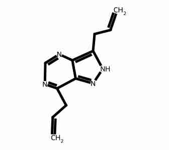 C=CCc1ncnc2c(CC=C)[nH]nc12